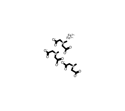 CN(CC(=O)[O-])CC(=O)[O-].CN(CC(=O)[O-])CC(=O)[O-].CN(CC(=O)[O-])CC(=O)[O-].[Fe+3].[Fe+3]